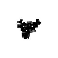 [2H]C([2H])([2H])NC(=O)c1nnc(NC(=O)C2CC2)cc1Nc1nccc2c1N(C)[C@H](C)c1nn(C(F)F)nc1-2